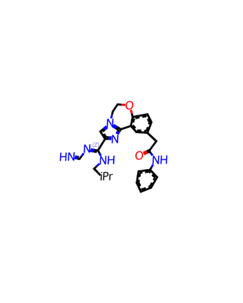 CC(C)CN/C(=N\C=N)c1cn2c(n1)-c1cc(CC(=O)Nc3ccccc3)ccc1OCC2